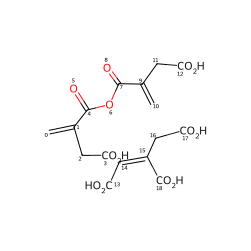 C=C(CC(=O)O)C(=O)OC(=O)C(=C)CC(=O)O.O=C(O)/C=C(/CC(=O)O)C(=O)O